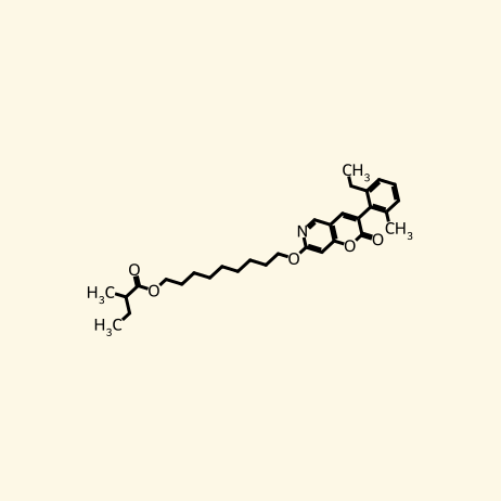 CCc1cccc(C)c1-c1cc2cnc(OCCCCCCCCCOC(=O)C(C)CC)cc2oc1=O